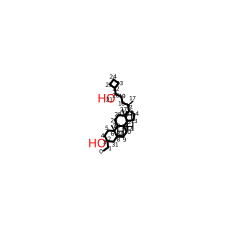 CC[C@]1(O)CC[C@@]2(C)C(=CC[C@H]3[C@@H]4CC[C@H]([C@H](C)CC[C@@H](O)C5CCC5)[C@@]4(C)CC[C@@H]32)C1